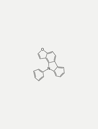 c1ccc(-n2c3ccccc3c3ccc4occc4c32)cc1